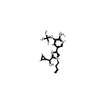 C=CCCn1cc(-c2cnc(N)c(OC(F)(F)F)c2)nc1C(O)C1CC1